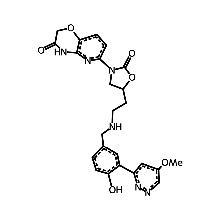 COc1cnnc(-c2cc(CNCCC3CN(c4ccc5c(n4)NC(=O)CO5)C(=O)O3)ccc2O)c1